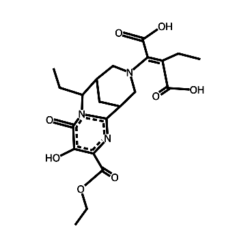 CCOC(=O)c1nc2n(c(=O)c1O)C(CC)C1CC2CN(C(C(=O)O)=C(CC)C(=O)O)C1